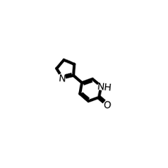 O=c1ccc(C2=NCCC2)c[nH]1